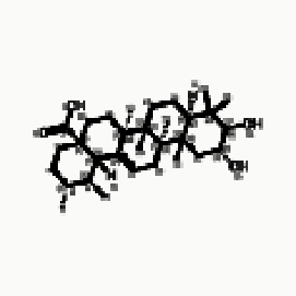 C[C@H]1[C@H](C)CC[C@]2(C(=O)O)CC[C@]3(C)C(=CC[C@@]4(C)[C@@]3(C)CC[C@H]3C(C)(C)[C@@H](O)[C@H](O)C[C@@]34C)[C@H]12